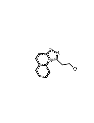 ClCCc1nnc2ccc3ccccc3n12